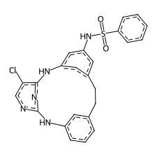 O=S(=O)(Nc1cc2cc(c1)Nc1nc(ncc1Cl)Nc1cccc(c1)CC2)c1ccccc1